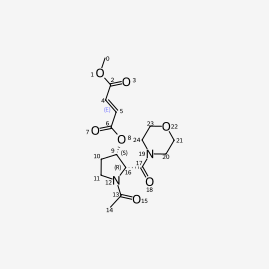 COC(=O)/C=C/C(=O)O[C@H]1CCN(C(C)=O)[C@H]1C(=O)N1CCOCC1